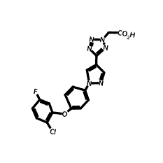 O=C(O)Cn1nnc(-c2cnn(-c3ccc(Oc4cc(F)ccc4Cl)cc3)c2)n1